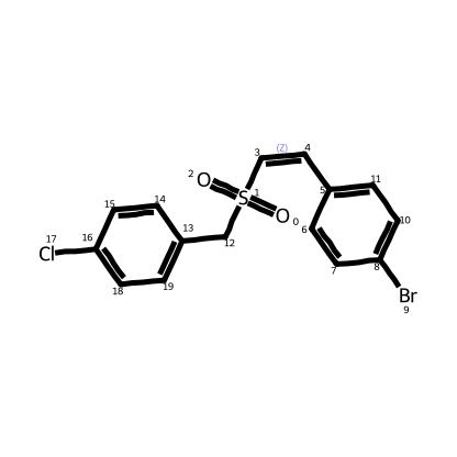 O=S(=O)(/C=C\c1ccc(Br)cc1)Cc1ccc(Cl)cc1